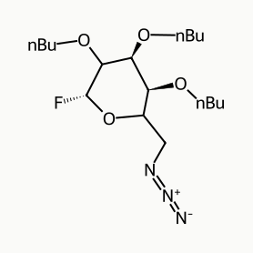 CCCCOC1[C@@H](OCCCC)[C@@H](OCCCC)C(CN=[N+]=[N-])O[C@@H]1F